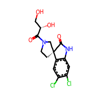 O=C([C@@H](O)CO)N1CC[C@]2(C1)C(=O)Nc1cc(Cl)c(Cl)cc12